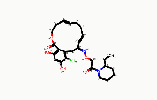 CCC1CCCCN1C(=O)CO/N=C1/C=C/CC/C=C/CCOC(=O)c2c(O)cc(O)c(Cl)c2C1